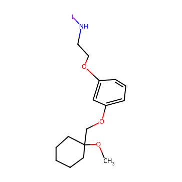 COC1(COc2cccc(OCCNI)c2)CCCCC1